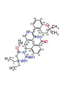 CCC1(CC)CC(=O)N(C(c2cccc(C(=O)N[C@H]3CC(C)(C)Oc4ccccc43)c2)[C@H](C)c2cccnc2)C(=N)N1